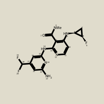 CNC(=O)c1c(N[C@H]2C[C@H]2F)ccnc1Nc1cc(C(F)F)cc(N)n1